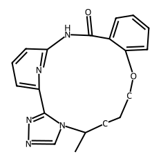 CC1CCCOc2ccccc2C(=O)Nc2cccc(n2)-c2nncn21